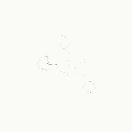 CC[C@@H](OCc1ccccc1)[C@@H](OCc1ccccc1)[C@H](C=O)OCc1ccccc1